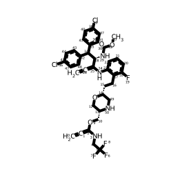 C=C=C(NCC(F)(F)F)OC[C@@H]1CO[C@H](CCc2c(F)cccc2NC(=C=C)[C@@H](NC(=O)OC)C(c2ccc(Cl)cc2)c2ccc(Cl)cc2)CN1